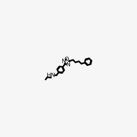 CCCNCc1ccc(-c2noc(CCCCc3ccccc3)n2)cc1